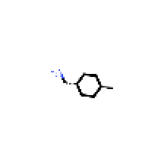 C[C@H]1CC[C@H](CN)CC1